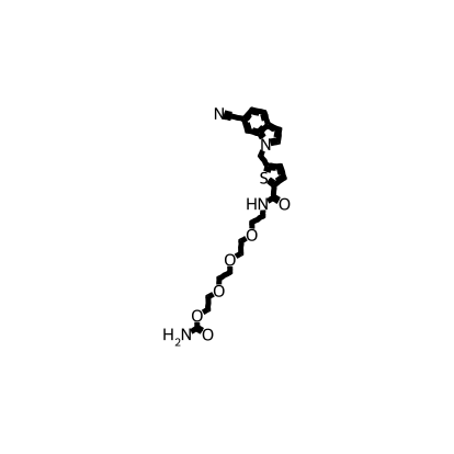 N#Cc1ccc2ccn(Cc3ccc(C(=O)NCCOCCOCCOCCOC(N)=O)s3)c2c1